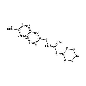 O=Cc1ccc2cc(CNC(=O)CN3CCOCC3)ccc2n1